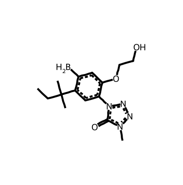 Bc1cc(OCCO)c(-n2nnn(C)c2=O)cc1C(C)(C)CC